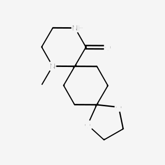 CN1CCNC(=O)C12CCC1(CC2)OCCO1